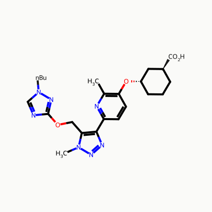 CCCCn1cnc(OCc2c(-c3ccc(O[C@H]4CCC[C@H](C(=O)O)C4)c(C)n3)nnn2C)n1